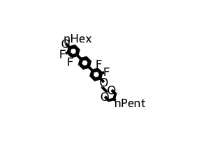 CCCCCCOc1ccc(-c2ccc(-c3ccc(OCC4OCC(CCCCC)CO4)c(F)c3F)cc2)c(F)c1F